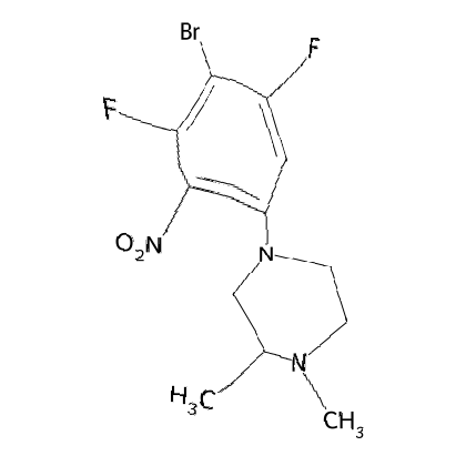 CC1CN(c2cc(F)c(Br)c(F)c2[N+](=O)[O-])CCN1C